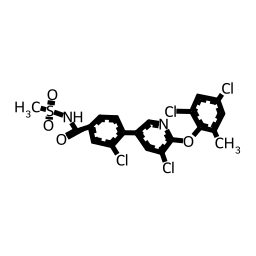 Cc1cc(Cl)cc(Cl)c1Oc1ncc(-c2ccc(C(=O)NS(C)(=O)=O)cc2Cl)cc1Cl